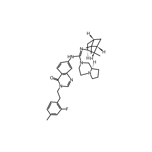 Cc1ccc(CCn2cnc3cc(N/C(=N/[C@H]4C[C@@H]5C[C@H]([C@@H]4C)C5(C)C)N4CCN5CCC[C@@H]5C4)ccc3c2=O)c(F)c1